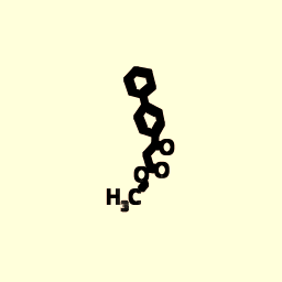 CCOC(=O)CC(=O)c1ccc(-c2ccccc2)cc1